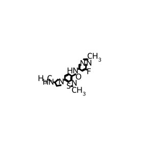 CNC1CCN(c2ccc(C(=O)Nc3cc(F)c4nc(C)cn4c3)c3nc(C)sc23)C1